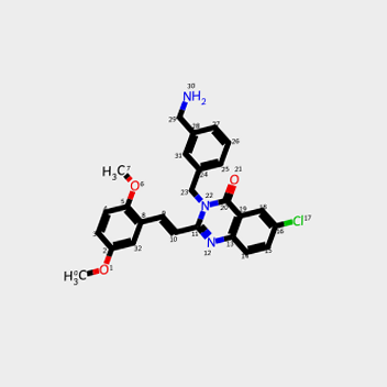 COc1ccc(OC)c(/C=C/c2nc3ccc(Cl)cc3c(=O)n2Cc2cccc(CN)c2)c1